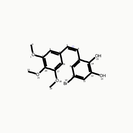 COc1cc(/C=C\c2cc(Br)cc(O)c2O)cc(OC)c1OC